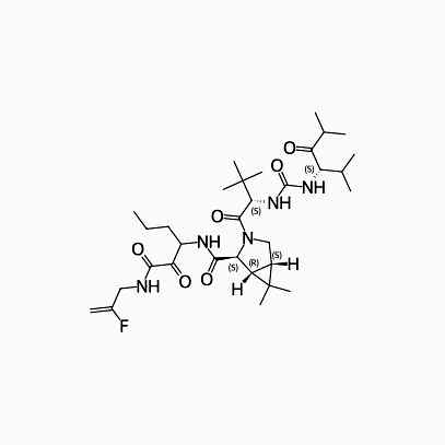 C=C(F)CNC(=O)C(=O)C(CCC)NC(=O)[C@@H]1[C@@H]2[C@H](CN1C(=O)[C@@H](NC(=O)N[C@H](C(=O)C(C)C)C(C)C)C(C)(C)C)C2(C)C